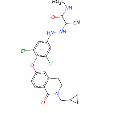 N#CC(NNc1cc(Cl)c(Oc2ccc3c(c2)CCN(CC2CC2)C3=O)c(Cl)c1)C(=O)NC(=O)O